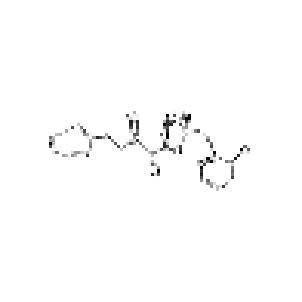 O=C(NCCc1ccccc1)c1nnc(Cc2ccccc2Cl)o1